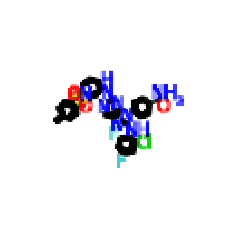 Cc1ccc(S(=O)(=O)N2CCC[C@@H](Nc3ncc4nc(Nc5c(F)cc(F)cc5Cl)n([C@H]5CC[C@@H](C(N)=O)CC5)c4n3)C2)cc1